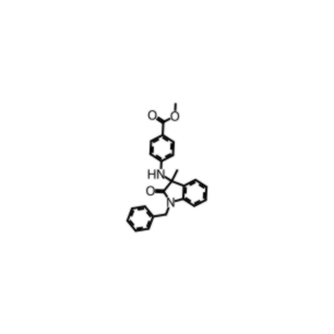 COC(=O)c1ccc(NC2(C)C(=O)N(Cc3ccccc3)c3ccccc32)cc1